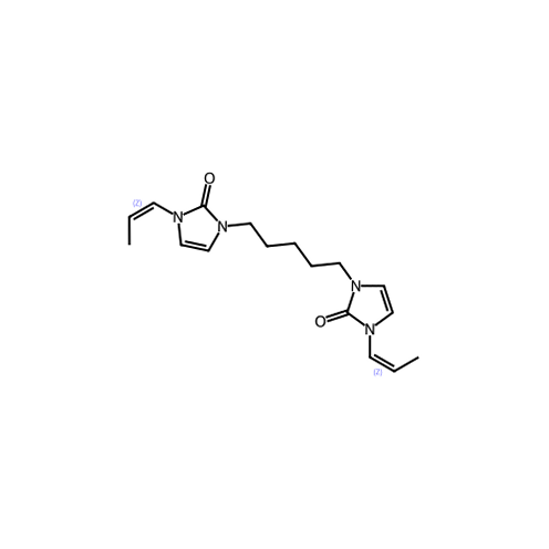 C/C=C\n1ccn(CCCCCn2ccn(/C=C\C)c2=O)c1=O